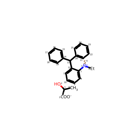 CC(O)C(=O)[O-].CC[N+](=S)c1ccccc1C(c1ccccc1)c1ccccc1